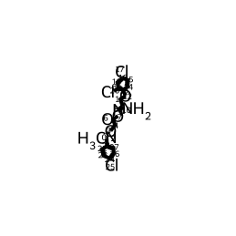 C/C(=N\OCC(=O)O/N=C(\N)COc1ccc(Cl)cc1Cl)c1ccc(Cl)cc1